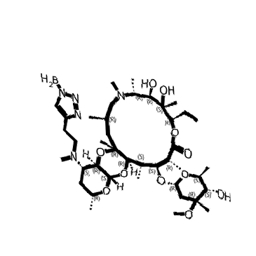 Bn1cc(CCN(C)[C@H]2C[C@@H](C)O[C@H]3O[C@@H]4[C@@H](C)[C@H](O[C@H]5C[C@@](C)(OC)[C@@H](O)[C@H](C)O5)[C@@H](C)C(=O)O[C@H](CC)[C@@](C)(O)[C@H](O)[C@@H](C)N(C)C[C@H](C)C[C@@]4(C)O[C@@H]32)nn1